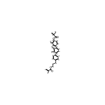 C=C(C)C(=O)OCCCc1ccc(-c2ccc3c(sc4c(C)c(OC(=O)C(=C)C)ccc43)c2F)cc1